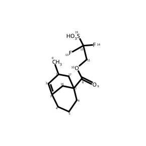 CC1C=C2CCCC(C(=O)OCC(F)(F)S(=O)(=O)O)(C2)C1